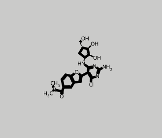 CN(C)C(=O)c1ccc2oc(-c3c(Cl)nc(N)nc3N[C@@H]3C[C@H](CO)[C@@H](O)[C@H]3O)cc2c1